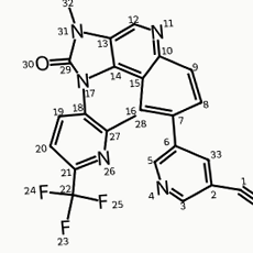 C#Cc1cncc(-c2ccc3ncc4c(c3c2)n(-c2ccc(C(F)(F)F)nc2C)c(=O)n4C)c1